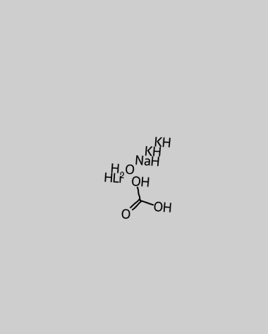 O.O=C(O)O.[KH].[KH].[LiH].[NaH]